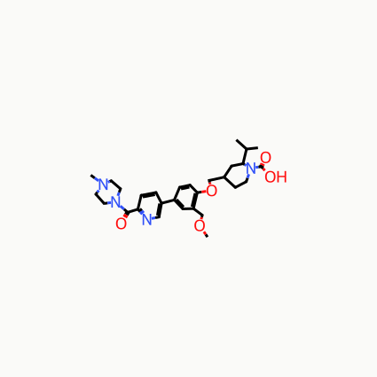 COCc1cc(-c2ccc(C(=O)N3CCN(C)CC3)nc2)ccc1OCC1CCN(C(=O)O)C(C(C)C)C1